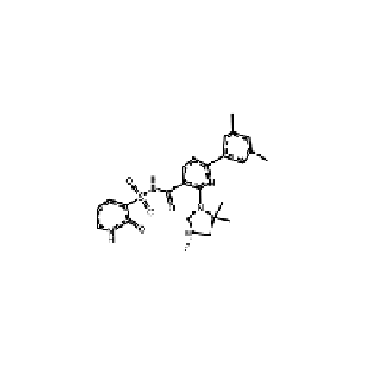 Cc1cc(C)cc(-c2ccc(C(=O)NS(=O)(=O)c3ccc[nH]c3=O)c(N3C[C@@H](C)CC3(C)C)n2)c1